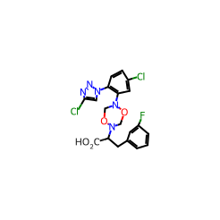 O=C(O)C(Cc1cccc(F)c1)N1CON(c2cc(Cl)ccc2-n2cc(Cl)nn2)CO1